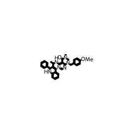 COc1ccc(CN2CN(C)C(=O)c3c(NC(C)C4=Cc5ccccc5NC4c4ccccc4)ncnc32)cc1